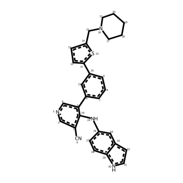 N#Cc1cncc(-c2cccc(-c3ccc(CN4CCCCC4)s3)c2)c1Nc1ccc2[nH]ccc2c1